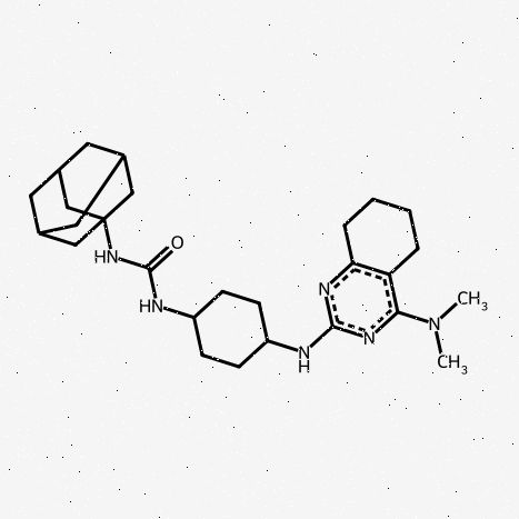 CN(C)c1nc(NC2CCC(NC(=O)NC34CC5CC(CC(C5)C3)C4)CC2)nc2c1CCCC2